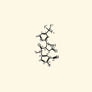 Cc1cc(C(F)(F)F)cc(N2NC(=O)CC2C(=O)N(C)c2ccc(F)c(C#N)c2)n1